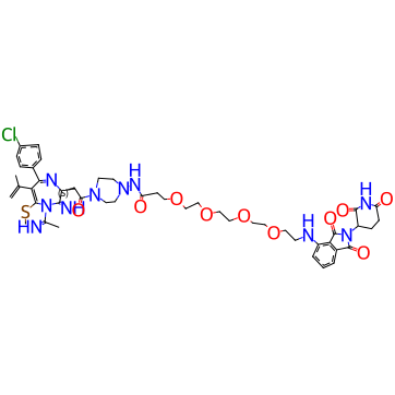 C=C(C)C1=C(SC)N(C(C)=N)C(=N)[C@H](CC(=O)N2CCN(NC(=O)CCOCCOCCOCCOCCNc3cccc4c3C(=O)N(C3CCC(=O)NC3=O)C4=O)CC2)N=C1c1ccc(Cl)cc1